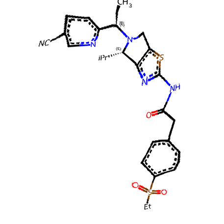 CCS(=O)(=O)c1ccc(CC(=O)Nc2nc3c(s2)CN([C@H](C)c2ccc(C#N)cn2)[C@H]3C(C)C)cc1